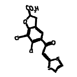 O=C(C=C1SCCS1)c1cc2c(c(Cl)c1Cl)OC(C(=O)O)C2